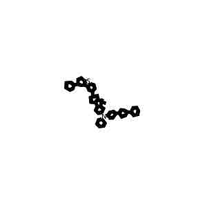 CC1(C)c2cc(-c3ccc4sc5ccc(-c6ccccc6)cc5c4c3)ccc2-c2ccc(N(c3ccccc3)c3ccc(-c4ccc(-c5ccccc5)cc4)cc3)cc21